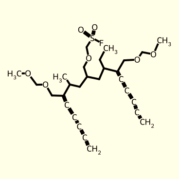 C=C=C=C=C=C(COCOC)C(C)CC(COCS(=O)(=O)F)CC(CC)C(=C=C=C=C=C)COCOC